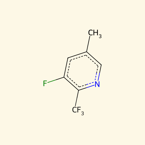 Cc1cnc(C(F)(F)F)c(F)c1